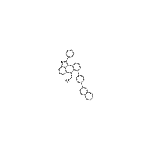 CCN1c2c(-c3ccc(-c4ccc5ccccc5c4)cc3)cccc2-n2c(-c3ccccc3)nc3cccc1c32